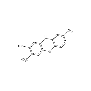 Cc1ccc2c(c1)Nc1cc(C)c(C(=O)O)cc1O2